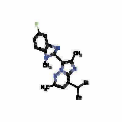 CCC(CC)c1cc(C)nn2c(-c3nc4cc(F)ccc4n3C)c(C)nc12